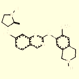 COc1cc2c(cc1Nc1ncc3ccc(N[C@@H]4CCN(C)C4=O)cc3n1)CN(C)CC2